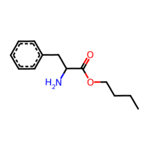 CCCCOC(=O)C(N)Cc1ccccc1